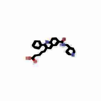 O=C(O)CCCCc1cc2cc(C(=O)NCc3ccncc3)ccc2nc1-c1ccccc1